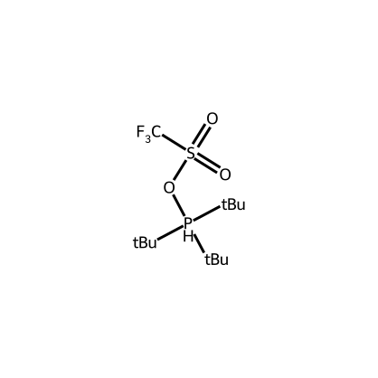 CC(C)(C)[PH](OS(=O)(=O)C(F)(F)F)(C(C)(C)C)C(C)(C)C